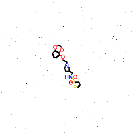 O=S(=O)(NCC1CCN(CCOc2cccc3c2OCCO3)C1)c1cccs1